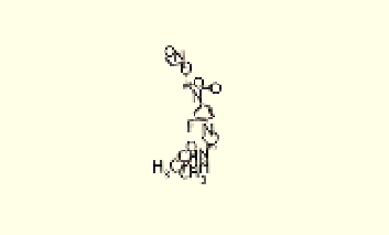 CC(C)(C)OC(=O)N[C@@H]1CCN(c2ccc(N3C[C@H](COc4ccon4)OC3=O)cc2F)C1